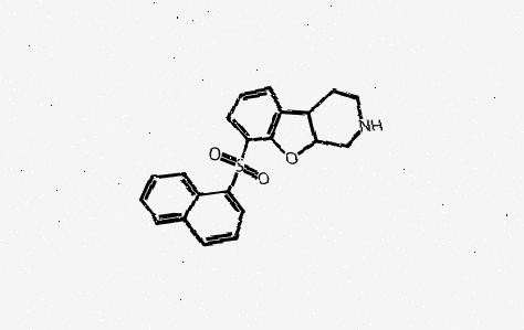 O=S(=O)(c1cccc2c1OC1CNCCC21)c1cccc2ccccc12